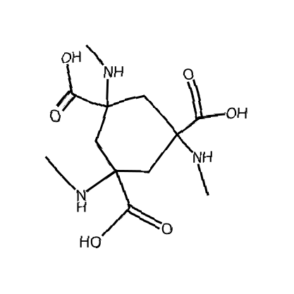 CNC1(C(=O)O)CC(NC)(C(=O)O)CC(NC)(C(=O)O)C1